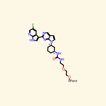 CCCCCOCCOCCNC(=O)N[C@H]1CCC[C@@H](n2ccc3cnc(-c4c[nH]c5ncc(F)cc45)nc32)C1